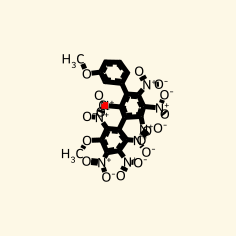 COc1cccc(-c2c([N+](=O)[O-])c(-c3c([N+](=O)[O-])c(OC)c([N+](=O)[O-])c([N+](=O)[O-])c3[N+](=O)[O-])c([N+](=O)[O-])c([N+](=O)[O-])c2[N+](=O)[O-])c1